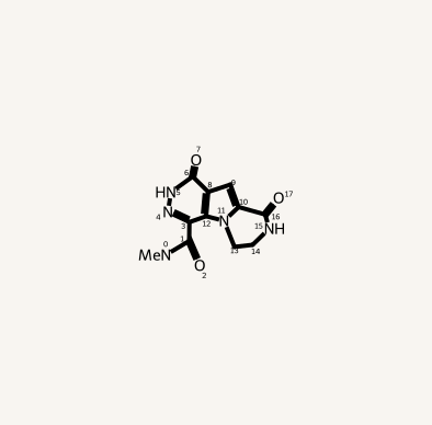 CNC(=O)c1n[nH]c(=O)c2cc3n(c12)CCNC3=O